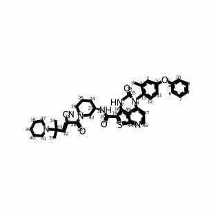 Cc1cc(Oc2ccccc2)ccc1N1C(=O)Nc2c(C(=O)N[C@@H]3CCCN(C(=O)/C(C#N)=C/C(C)(C)N4CCCCC4)C3)sc3nccc1c23